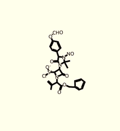 C=C(C)C(C(=O)OCc1ccccc1)N1C(=O)C(N2C(=O)C(c3ccc(OC=O)cc3)N(N=O)C2(C)C)C1[S+]([O-])Cl